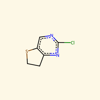 Clc1ncc2c(n1)CCS2